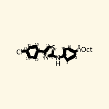 CCCCCCCCc1ccc(Nc2nc(-c3ccc(Cl)cc3)cs2)cc1